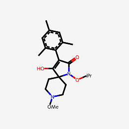 CON1CCC2(CC1)C(O)=C(c1c(C)cc(C)cc1C)C(=O)N2OC(C)C